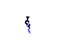 [N-]=[N+]=NCc1cn2cc(C3CC3)ccc2n1